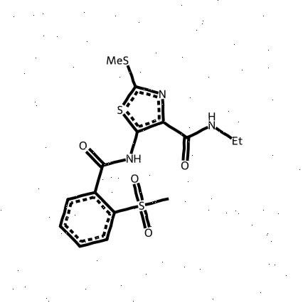 CCNC(=O)c1nc(SC)sc1NC(=O)c1ccccc1S(C)(=O)=O